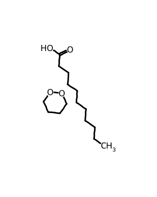 C1CCOOC1.CCCCCCCCCCC(=O)O